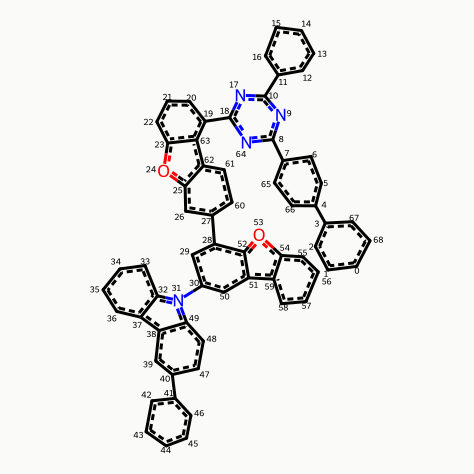 c1ccc(-c2ccc(-c3nc(-c4ccccc4)nc(-c4cccc5oc6cc(-c7cc(-n8c9ccccc9c9cc(-c%10ccccc%10)ccc98)cc8c7oc7ccccc78)ccc6c45)n3)cc2)cc1